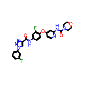 O=C(Nc1ccc(Oc2ccnc(NC(=O)N3CCOCC3)c2)c(F)c1)c1cn(-c2cccc(F)c2)nn1